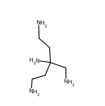 NCCC(N)(CN)CCN